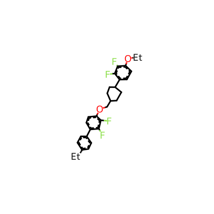 CCOc1ccc(C2CCC(COc3ccc(-c4ccc(CC)cc4)c(F)c3F)CC2)c(F)c1F